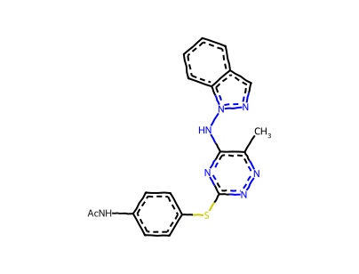 CC(=O)Nc1ccc(Sc2nnc(C)c(Nn3ncc4ccccc43)n2)cc1